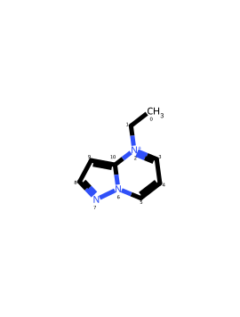 CC[n+]1cccn2nccc21